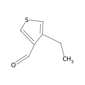 CCc1cscc1C=O